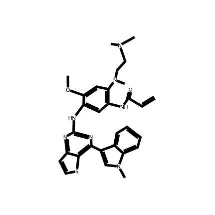 C=CC(=O)Nc1cc(Nc2nc(-c3cn(C)c4ccccc34)c3sccc3n2)c(OC)cc1N(C)CCN(C)C